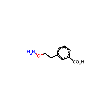 NOCCc1cccc(C(=O)O)c1